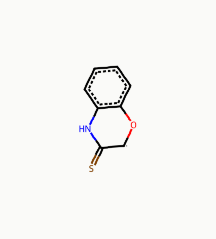 S=C1[CH]Oc2ccccc2N1